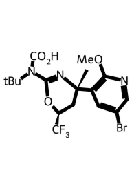 COc1ncc(Br)cc1[C@]1(C)C[C@@H](C(F)(F)F)OC(N(C(=O)O)C(C)(C)C)=N1